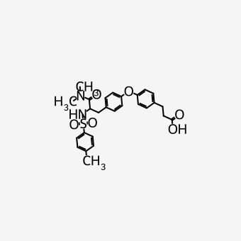 Cc1ccc(S(=O)(=O)NC(Cc2ccc(Oc3ccc(CCC(=O)O)cc3)cc2)C(=O)N(C)C)cc1